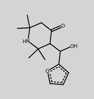 CC1(C)CC(=O)C(C(O)c2ccco2)C(C)(C)N1